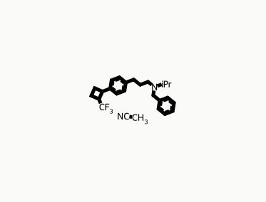 CC#N.CC(C)N(CCCc1ccc(C2CCC2C(F)(F)F)cc1)Cc1ccccc1